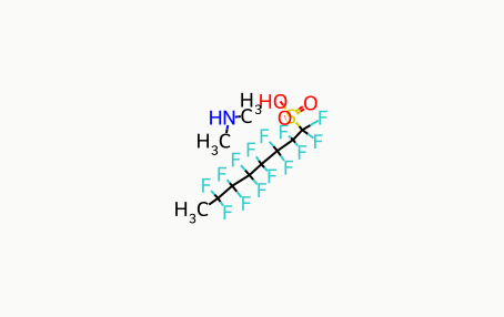 CC(F)(F)C(F)(F)C(F)(F)C(F)(F)C(F)(F)C(F)(F)C(F)(F)S(=O)(=O)O.CNC